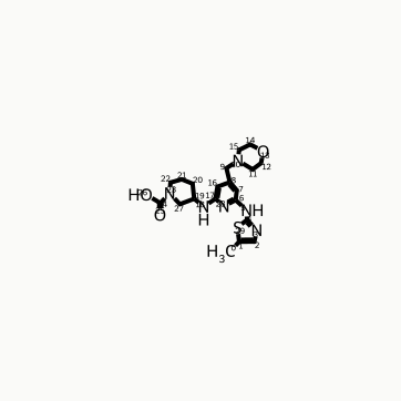 Cc1cnc(Nc2cc(CN3CCOCC3)cc(NC3CCCN(C(=O)O)C3)n2)s1